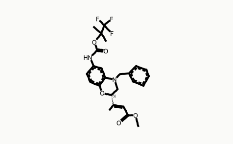 COC(=O)C=C(C)[C@H]1CN(Cc2ccccc2)c2cc(NC(=O)OC(C)(C)C(F)(F)F)ccc2O1